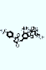 CCOC(=O)C(C)(C)Oc1c(Cl)cc(CN2C(=O)CN(c3ccc(C)cc3)C2=O)cc1OC